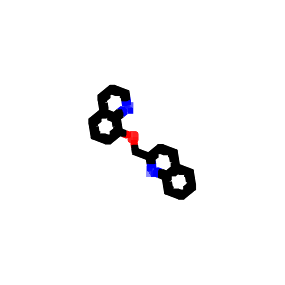 c1ccc2nc(COc3cccc4cccnc34)ccc2c1